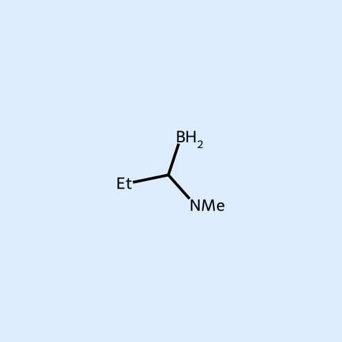 BC(CC)NC